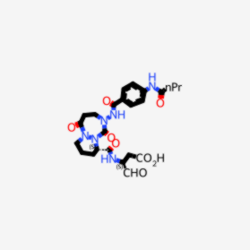 CCCC(=O)Nc1ccc(C(=O)NN2CCC(=O)N3CCC[C@@H](C(=O)N[C@H](C=O)CC(=O)O)N3C2=O)cc1